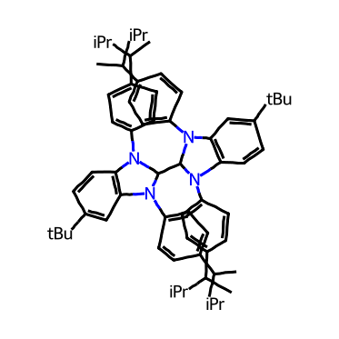 CC(C)C(C)c1ccc(N2c3ccc(C(C)(C)C)cc3N(c3ccc(C(C)C(C)C)cc3)C2C2N(c3ccc(C(C)C(C)C)cc3)c3ccc(C(C)(C)C)cc3N2c2ccc(C(C)C(C)C)cc2)cc1